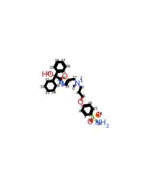 C[N+](C)(CCCOc1ccc(S(N)(=O)=O)cc1)Cc1cnc([C@](O)(c2ccccc2)C2CCCCC2)o1